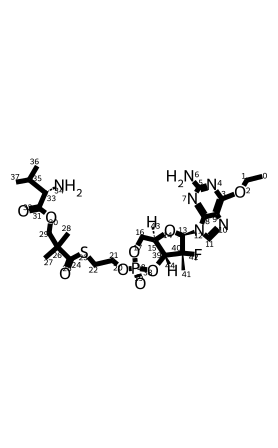 CCOc1nc(N)nc2c1ncn2[C@@H]1O[C@@H]2COP(=O)(OCCSC(=O)C(C)(C)COC(=O)[C@@H](N)C(C)C)O[C@H]2[C@@]1(C)F